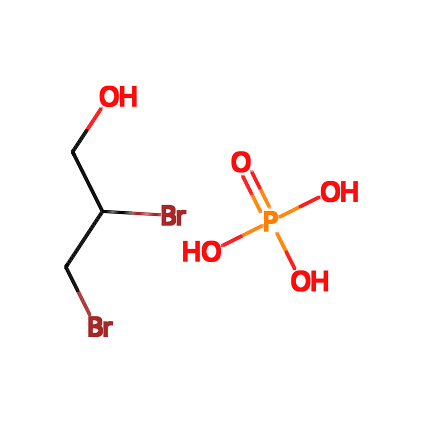 O=P(O)(O)O.OCC(Br)CBr